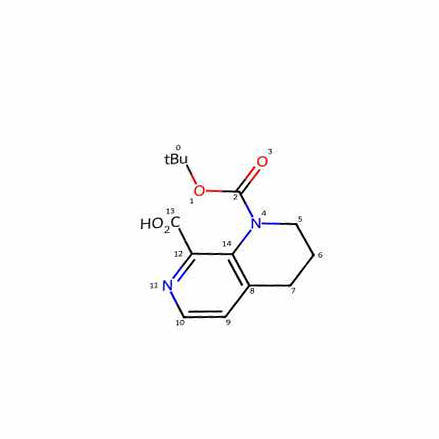 CC(C)(C)OC(=O)N1CCCc2ccnc(C(=O)O)c21